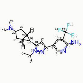 CC(C)n1nc(-c2cnc(N)c(C(F)(F)F)c2)cc1[C@H]1[C@@H]2CC(N(C)C)C[C@@H]21